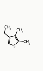 CCc1csc(C)c1C